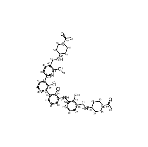 COc1nc(-c2ccnc(-c3cccc(Nc4nccc(CNC5CCN(C(C)=O)CC5)c4F)c3Cl)c2Cl)ccc1CNC1CCN(C(C)=O)CC1